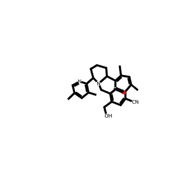 Cc1cnc(C2CCCC(c3ncc(C)cc3C)N2Cc2ccc(C#N)cc2CO)c(C)c1